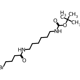 CC(C)(C)OC(=O)NCCCCCCNC(=O)CCCBr